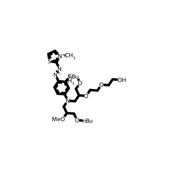 CCCCOCC(CN(CC(COCCCC)OCCOCCO)c1ccc(/N=N/c2scc[n+]2C)c(C)c1)OC